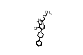 CCOCc1nnc2c(Cl)c(N3CCC(c4ccccc4)CC3)ccn12